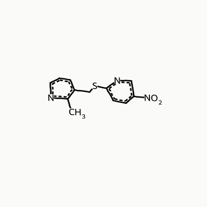 Cc1ncccc1CSc1ccc([N+](=O)[O-])cn1